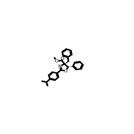 COC(=O)[C@@]1(Cc2ccccc2)N=C(c2ccc(C(C)C)cc2)O[C@H]1c1ccccc1